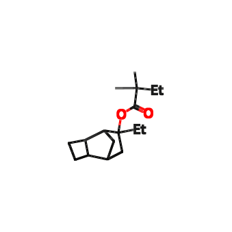 CCC(C)(C)C(=O)OC1(CC)CC2CC1C1CCC21